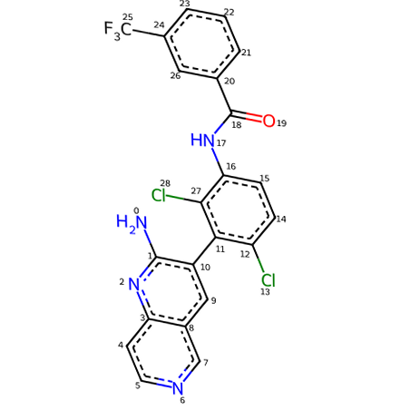 Nc1nc2ccncc2cc1-c1c(Cl)ccc(NC(=O)c2cccc(C(F)(F)F)c2)c1Cl